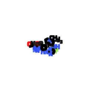 COc1ccc(Nc2ncc(F)c(N[C@@H]3C[C@H]4CCCN4C(C)(C)C3)n2)cc1-n1nnn(C2COC2)c1=O